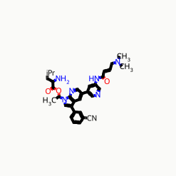 CC(C)CC(N)C(=O)OC(C)n1cc(-c2cccc(C#N)c2)c2cc(-c3cncc(NC(=O)/C=C/CN(C)C)c3)cnc21